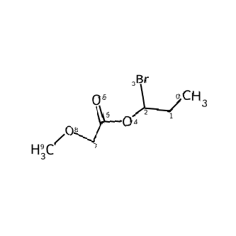 CCC(Br)OC(=O)COC